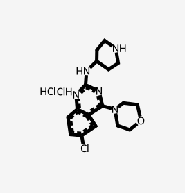 Cl.Cl.Clc1ccc2nc(NC3CCNCC3)nc(N3CCOCC3)c2c1